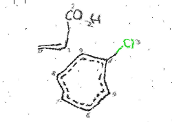 C=CC(=O)O.Clc1cc[c]cc1